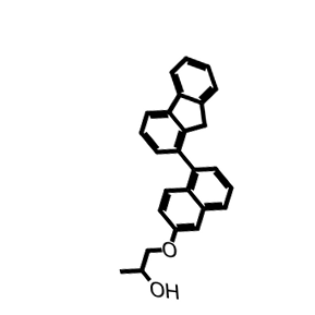 CC(O)COc1ccc2c(-c3cccc4c3Cc3ccccc3-4)cccc2c1